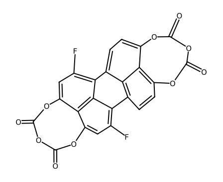 O=C1OC(=O)Oc2ccc3c4c(F)cc5c6c(cc(F)c(c7ccc(c2c73)O1)c64)OC(=O)OC(=O)O5